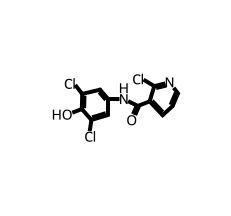 O=C(Nc1cc(Cl)c(O)c(Cl)c1)c1cccnc1Cl